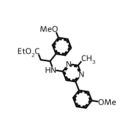 CCOC(=O)CC(Nc1cc(-c2cccc(OC)c2)nc(C)n1)c1cccc(OC)c1